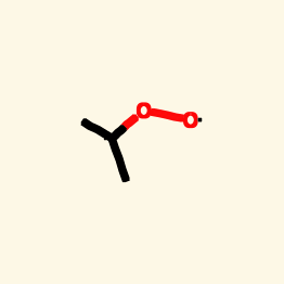 C[C](C)O[O]